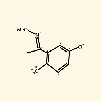 CO/N=C(\C)c1cc(Cl)ccc1C(F)(F)F